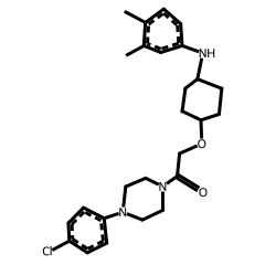 Cc1ccc(NC2CCC(OCC(=O)N3CCN(c4ccc(Cl)cc4)CC3)CC2)cc1C